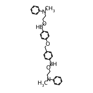 CN(CCOBc1ccc(COc2ccc(BOCCN(C)c3ccccc3)cc2)cc1)c1ccccc1